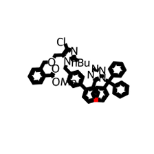 CCCCc1nc(Cl)c(COCc2ccccc2C(=O)OC)n1Cc1ccc(-c2ccccc2-c2nnnn2C(c2ccccc2)(c2ccccc2)c2ccccc2)cc1